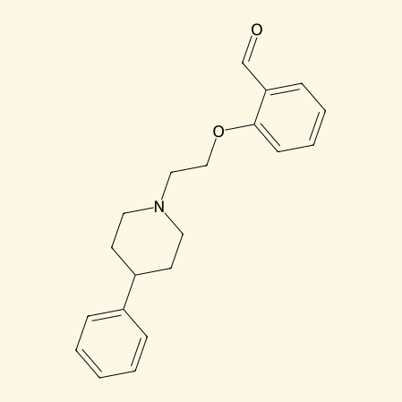 O=Cc1ccccc1OCCN1CCC(c2ccccc2)CC1